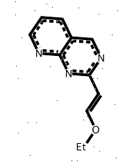 CCOC=Cc1ncc2cccnc2n1